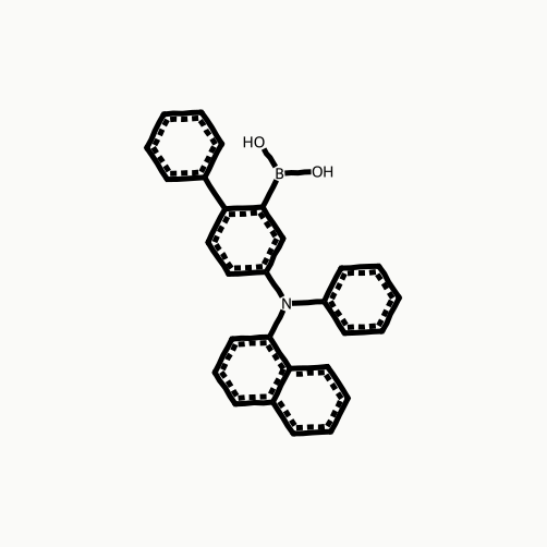 OB(O)c1cc(N(c2ccccc2)c2cccc3ccccc23)ccc1-c1ccccc1